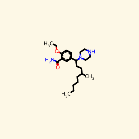 CCCCCC(C)CCC(c1ccc(OCC)c(C(N)=O)c1)N1CCNCC1